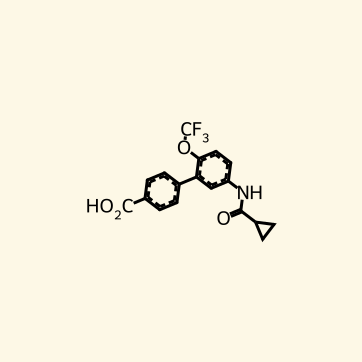 O=C(O)c1ccc(-c2cc(NC(=O)C3CC3)ccc2OC(F)(F)F)cc1